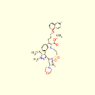 CCOC(=O)c1c(CCCOc2cccc3cc(F)ccc23)c2ccc(Cl)c3c2n1CCCS(=O)(=O)N(C)C(CCN1CCOCC1)c1nn(C)c(CC)c1-3